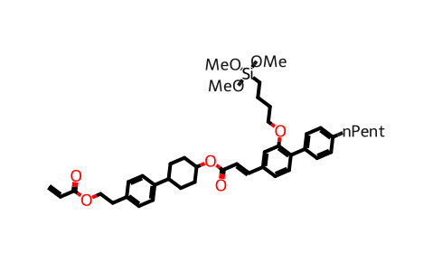 C=CC(=O)OCCc1ccc(C2CCC(OC(=O)/C=C/c3ccc(-c4ccc(CCCCC)cc4)c(OCCCC[Si](OC)(OC)OC)c3)CC2)cc1